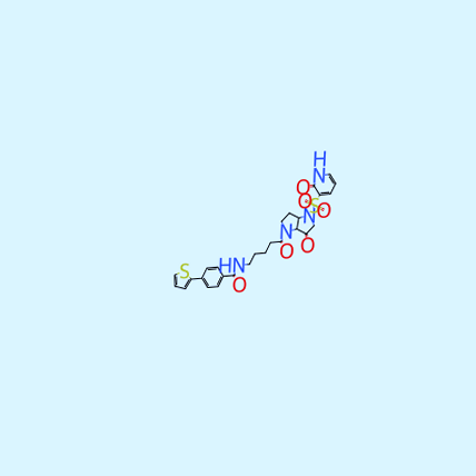 O=C(NCCCCC(=O)N1CCC2C1C(=O)CN2S(=O)(=O)c1ccc[nH]c1=O)c1ccc(-c2cccs2)cc1